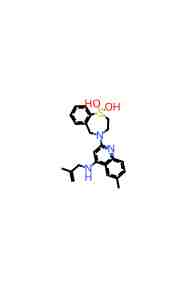 C=C(C)CNc1cc(N2CCS(O)(O)c3ccccc3C2)nc2ccc(C)cc12